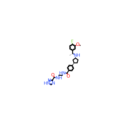 COc1cc([C@@H](C)N[C@H]2CC[C@@H](c3ccc(C(=O)NCCNC(=O)c4nc[nH]n4)cc3)C2)ccc1F